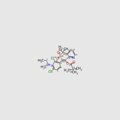 CCN(C)c1c(Cl)ccc(C2=C(OC(=O)C(C)(C)C)c3ncccc3C(C)(C)S2(=O)=O)c1Cl